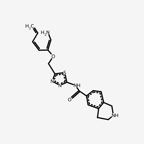 C=C/C=C\C(=C/N)OCc1nnc(NC(=O)c2ccc3c(c2)CCNC3)s1